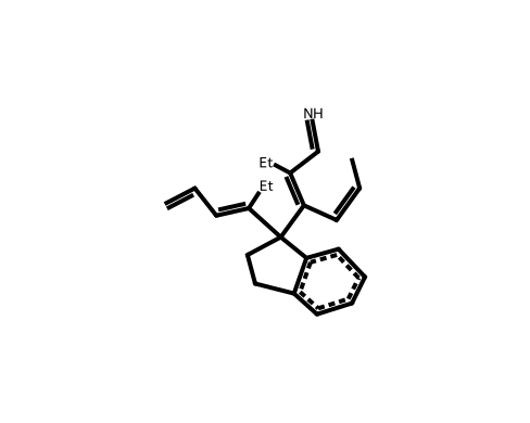 C=C/C=C(\CC)C1(C(/C=C\C)=C(/C=N)CC)CCc2ccccc21